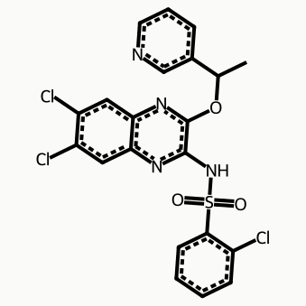 CC(Oc1nc2cc(Cl)c(Cl)cc2nc1NS(=O)(=O)c1ccccc1Cl)c1cccnc1